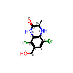 C[C@H]1Nc2c(Br)cc(CO)c(F)c2NC1=O